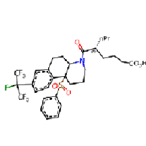 CCC[C@H](CCCC(=O)O)C(=O)N1CCCC2(S(=O)(=O)c3ccccc3)c3ccc(C(F)(C(F)(F)F)C(F)(F)F)cc3CCC12